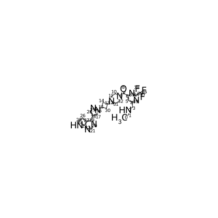 CCNCc1cc(C(=O)N2CCN(C3CC(n4cc(-c5ncnc6[nH]ccc56)cn4)C3)CC2)nc(C(F)(F)F)n1